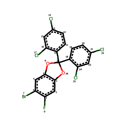 Fc1cc2c(cc1Br)OC(c1ccc(Cl)cc1Cl)(c1ccc(Cl)cc1Cl)O2